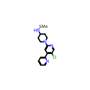 CSNC1CCN(c2cc(-c3ccccn3)c(Cl)cn2)CC1